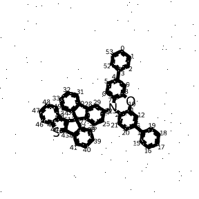 c1ccc(-c2ccc3c(c2)Oc2cc(-c4ccccc4)ccc2N3c2ccc3c(c2)-c2ccccc2C32c3ccccc3-c3sc4ccccc4c32)cc1